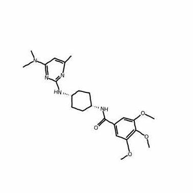 COc1cc(C(=O)N[C@H]2CC[C@@H](Nc3nc(C)cc(N(C)C)n3)CC2)cc(OC)c1OC